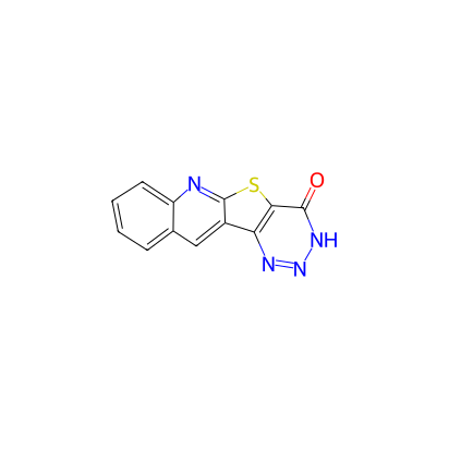 O=c1[nH]nnc2c1sc1nc3ccccc3cc12